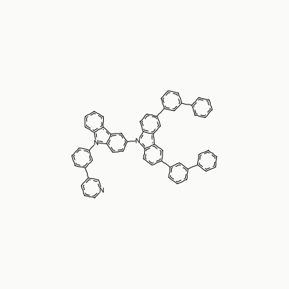 c1ccc(-c2cccc(-c3ccc4c(c3)c3cc(-c5cccc(-c6ccccc6)c5)ccc3n4-c3ccc4c(c3)c3ccccc3n4-c3cccc(-c4cccnc4)c3)c2)cc1